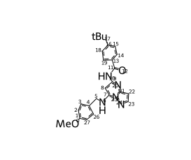 COc1ccc(CNc2cc(NC(=O)c3ccc(C(C)(C)C)cc3)nc3ccnn23)cc1